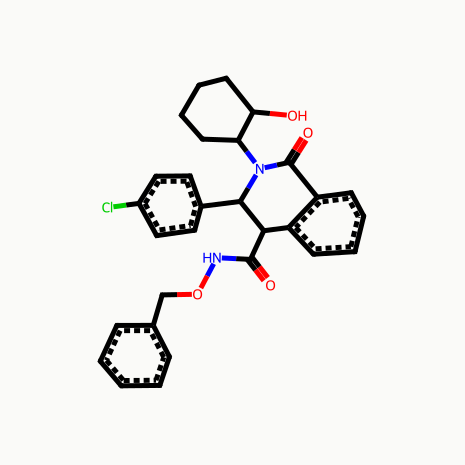 O=C(NOCc1ccccc1)C1c2ccccc2C(=O)N(C2CCCCC2O)C1c1ccc(Cl)cc1